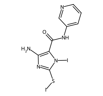 Nc1nc(SI)n(I)c1C(=O)Nc1cccnc1